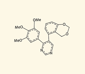 COc1cc(-c2ncncc2-c2cccc3c2COCO3)cc(OC)c1OC